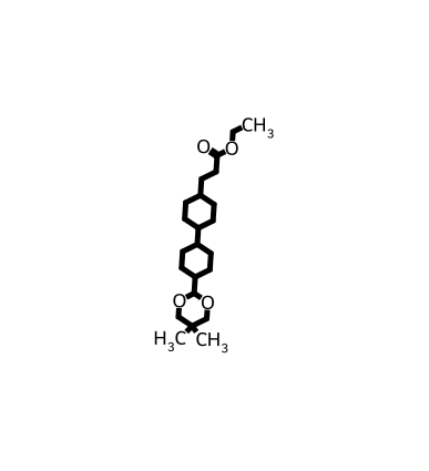 CCOC(=O)CCC1CCC(C2CCC(C3OCC(C)(C)CO3)CC2)CC1